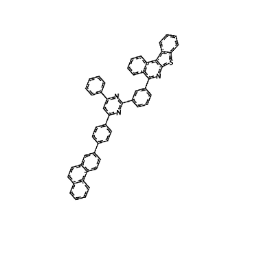 c1ccc(-c2cc(-c3ccc(-c4ccc5c(ccc6ccccc65)c4)cc3)nc(-c3cccc(-c4nc5sc6ccccc6c5c5ccccc45)c3)n2)cc1